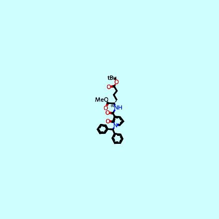 COC(=O)[C@H](CCCC(=O)OC(C)(C)C)NC(=O)c1cccn(C(c2ccccc2)c2ccccc2)c1=O